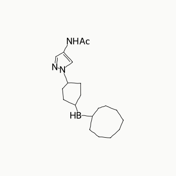 CC(=O)Nc1cnn(C2CCC(BC3CCCCCCCC3)CC2)c1